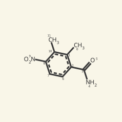 Cc1c(C(N)=O)ccc([N+](=O)[O-])c1C